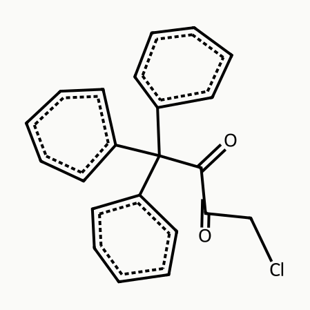 O=C(CCl)C(=O)C(c1ccccc1)(c1ccccc1)c1ccccc1